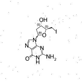 Nc1nc2c(ncn2[C@H]2C[C@H](O)[C@@H](CI)O2)c(=O)[nH]1